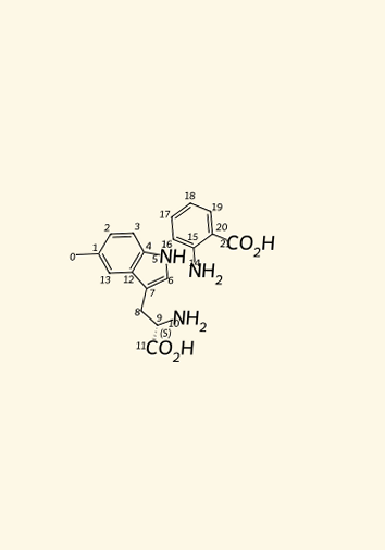 Cc1ccc2[nH]cc(C[C@H](N)C(=O)O)c2c1.Nc1ccccc1C(=O)O